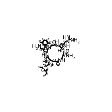 CCCC[C@H](NC(C)=O)C(=O)N[C@H]1CCC(=O)NCC[C@@H](C(N)=O)NC(=O)[C@H](CCCNC(=N)N)NC(=O)[C@@H](Cc2ccc(C)cc2)NC(=O)[C@H](CCCN)NC1=O